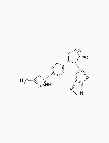 Cc1c[nH]c(-c2ccc(C3CNC(=O)N3c3ccc4[nH]cnc4c3)cc2)c1